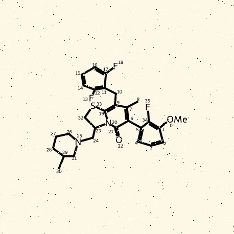 COc1cccc(-c2c(C)c(Cc3c(F)cccc3F)c3n(c2=O)C(CN2CCCC(C)C2)CS3)c1F